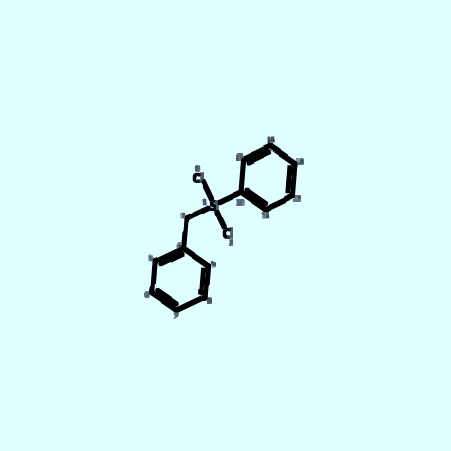 Cl[Si](Cl)(Cc1ccccc1)c1ccccc1